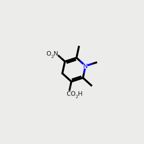 CC1=C(C(=O)O)CC([N+](=O)[O-])=C(C)N1C